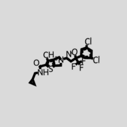 Cc1c(C(=O)NCC2CC2)sc2c1CN(C1=NOC(c3cc(Cl)cc(Cl)c3)(C(F)(F)F)C1)C2